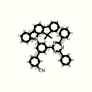 CC1(C)c2ccccc2-c2ccc3c4ccccc4n(-c4cc(-c5cccc(C#N)c5)cc(-c5nc(-c6ccccc6)nc(-c6ccccc6)n5)c4)c3c21